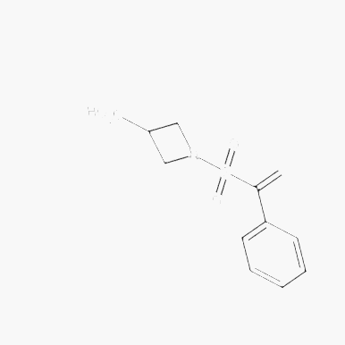 C=C(c1ccccc1)S(=O)(=O)N1CC(C(=O)O)C1